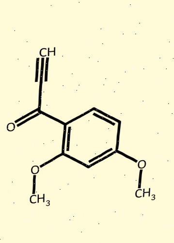 C#CC(=O)c1ccc(OC)cc1OC